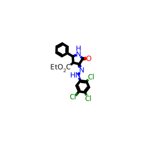 CCOC(=O)C1C(=NNc2cc(Cl)c(Cl)cc2Cl)C(=O)NC1c1ccccc1